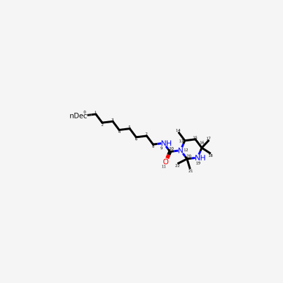 CCCCCCCCCCCCCCCCCCNC(=O)N1C(C)CC(C)(C)NC1(C)C